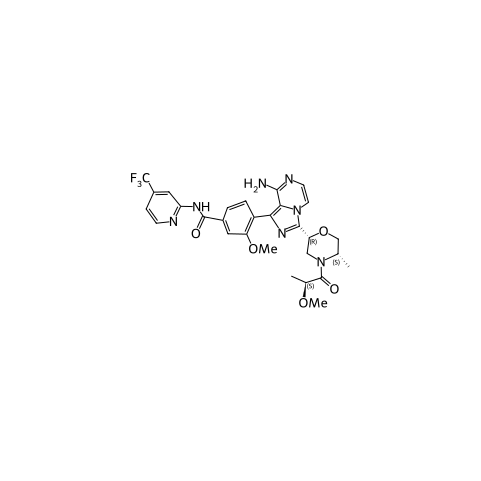 COc1cc(C(=O)Nc2cc(C(F)(F)F)ccn2)ccc1-c1nc([C@H]2CN(C(=O)[C@H](C)OC)[C@@H](C)CO2)n2ccnc(N)c12